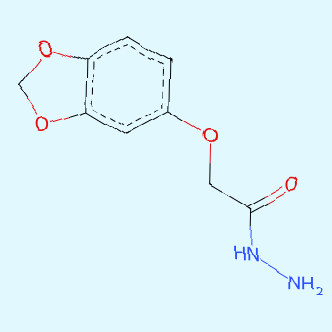 NNC(=O)COc1ccc2c(c1)OCO2